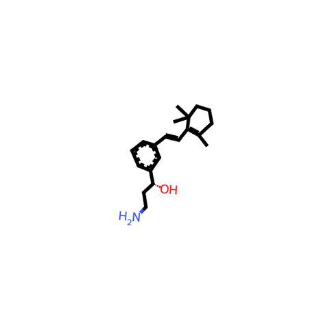 CC1=C(C=Cc2cccc([C@H](O)CCN)c2)C(C)(C)CCC1